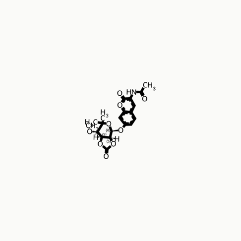 CO[C@@H]1[C@@H]2OC(=O)O[C@@H]2[C@H](Oc2ccc3cc(NC(C)=O)c(=O)oc3c2)OC1(C)C